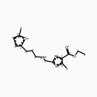 CCOC(=O)c1nc(CNCCCc2ccc(C)s2)sc1C